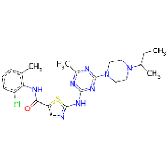 CCC(C)N1CCN(c2nc(C)nc(Nc3ncc(C(=O)Nc4c(C)cccc4Cl)s3)n2)CC1